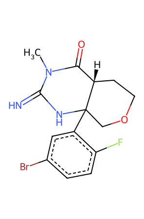 CN1C(=N)NC2(c3cc(Br)ccc3F)COCC[C@H]2C1=O